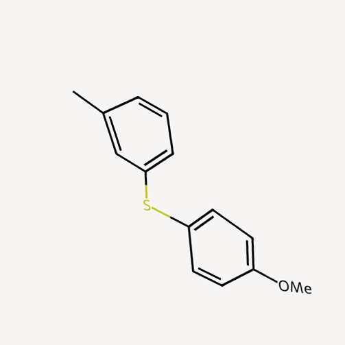 COc1ccc(Sc2cccc(C)c2)cc1